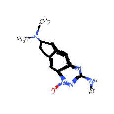 CCNc1nc2cc3c(cc2[n+]([O-])n1)CC(N(C)C)C3